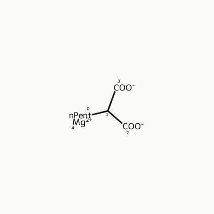 CCCCCC(C(=O)[O-])C(=O)[O-].[Mg+2]